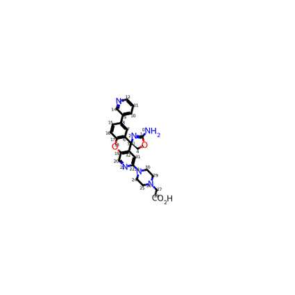 NC1=N[C@@]2(CO1)c1cc(-c3cccnc3)ccc1Oc1cnc(N3CCN(CC(=O)O)CC3)cc12